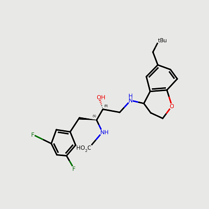 CC(C)(C)Cc1ccc2c(c1)C(NC[C@@H](O)[C@H](Cc1cc(F)cc(F)c1)NC(=O)O)CCO2